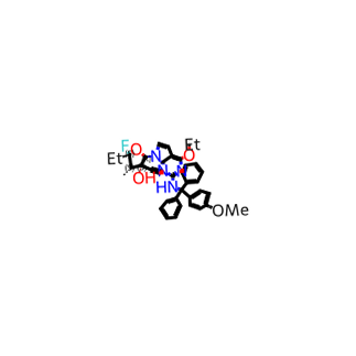 C#C[C@]1(O)[C@H](n2ccc3c(OCC)nc(NC(c4ccccc4)(c4ccccc4)c4ccc(OC)cc4)nc32)O[C@](F)(CC)[C@H]1C